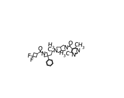 Cc1ncnc(C)c1C(=O)N1CC2CN(C(C)CC3(c4ccccc4)CN(C(=O)C4CC(F)(F)C4)C3)CC2C1